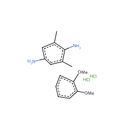 COc1ccccc1OC.Cc1cc(N)cc(C)c1N.Cl.Cl